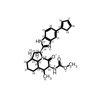 COC(=O)N[C@@H]1C(=O)N2[C@H](c3nc4cc(C5=CC=CC5)ccc4[nH]3)C[C@@H]3CCCC(C1C)[C@@H]32